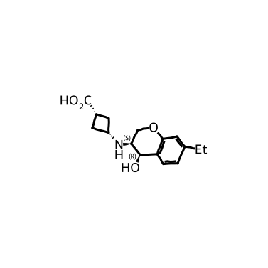 CCc1ccc2c(c1)OC[C@H](N[C@H]1C[C@@H](C(=O)O)C1)[C@@H]2O